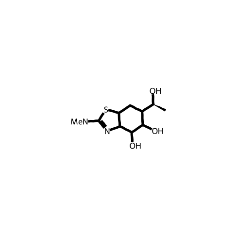 CNC1=NC2C(CC([C@H](C)O)C(O)C2O)S1